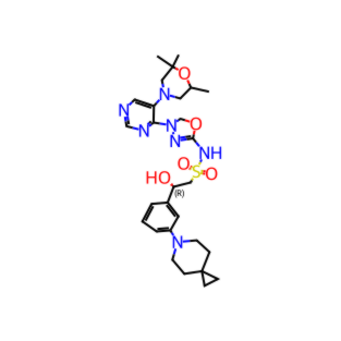 CC1CN(c2cncnc2N2COC(NS(=O)(=O)C[C@H](O)c3cccc(N4CCC5(CC4)CC5)c3)=N2)CC(C)(C)O1